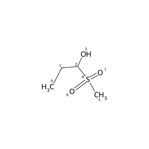 CCC(O)S(C)(=O)=O